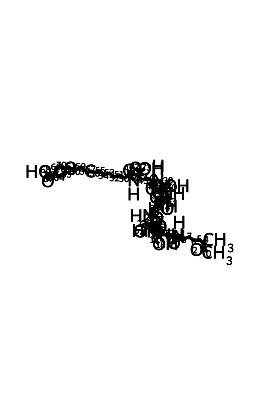 CC(=O)[C@@H](C)CCCCNC(=O)CNC(=O)[C@H](CO)NC(=O)[C@H](CO)NC(=O)CNC(=O)[C@H](CO)NC(=O)[C@H](CO)NC(=O)CC[C@H](NC(=O)CCCCCCCCCCCOc1ccc(C(=O)O)cc1)C(=O)O